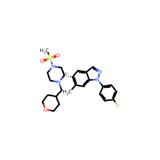 Cc1cc2c(cnn2-c2ccc(F)cc2)cc1[C@H]1CN(S(C)(=O)=O)CCN1CC1CCOCC1